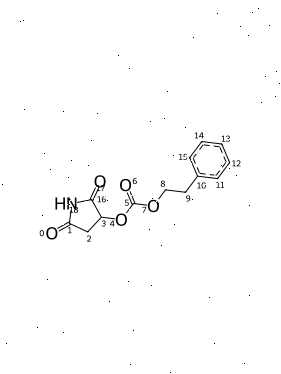 O=C1CC(OC(=O)OCCc2ccccc2)C(=O)N1